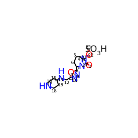 O=C1N2CC(CCC2c2nnc(CNC3CCNCC3)o2)N1OS(=O)(=O)O